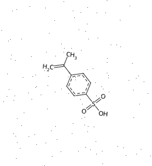 C=C(C)c1ccc(S(=O)(=O)O)cc1